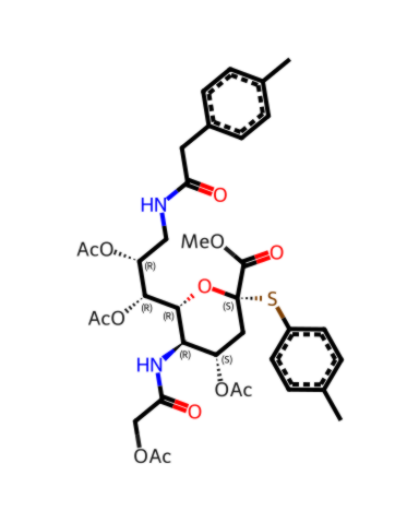 COC(=O)[C@@]1(Sc2ccc(C)cc2)C[C@H](OC(C)=O)[C@@H](NC(=O)COC(C)=O)[C@H]([C@H](OC(C)=O)[C@@H](CNC(=O)Cc2ccc(C)cc2)OC(C)=O)O1